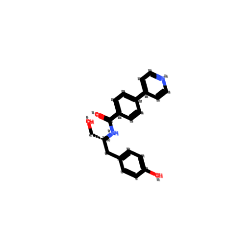 O=C(N[C@@H](CO)Cc1ccc(O)cc1)c1ccc(-c2ccncc2)cc1